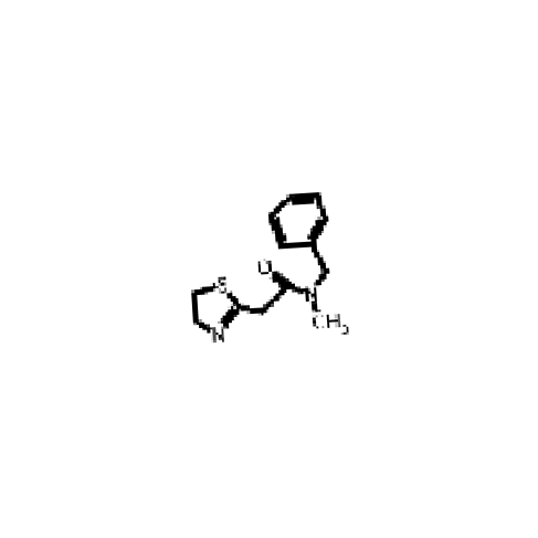 CN(Cc1ccccc1)C(=O)CC1=NCCS1